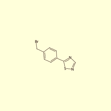 BrCc1ccc(-c2ncns2)cc1